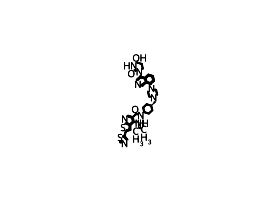 CC(C)Nc1c(C(=O)N[C@H]2CC[C@H](CN3CCN(c4cccc5c(N6CCC(O)NC6=O)cncc45)CC3)CC2)cnc2sc(-c3cncs3)cc12